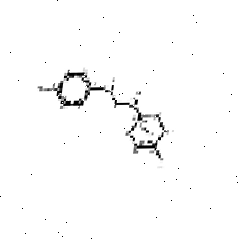 Cc1ccc(OCOC23CCC(C)(CC2)CC3)cc1